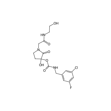 O=C(CN1CCC(O)(OC(=O)NCc2cc(F)cc(Cl)c2)C1=O)NCCO